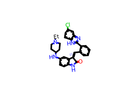 CCN1CCC(Nc2ccc3c(c2)/C(=C/c2ccccc2-c2nc4cc(Cl)ccc4[nH]2)C(=O)N3)CC1